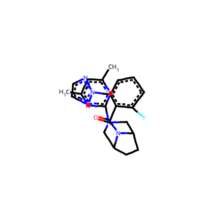 Cc1cc(C)nc(N2CC3CCC(C2)N3C(=O)c2c(F)cccc2-n2nccn2)n1